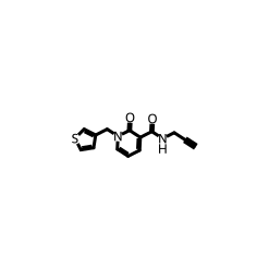 C#CCNC(=O)c1cccn(Cc2ccsc2)c1=O